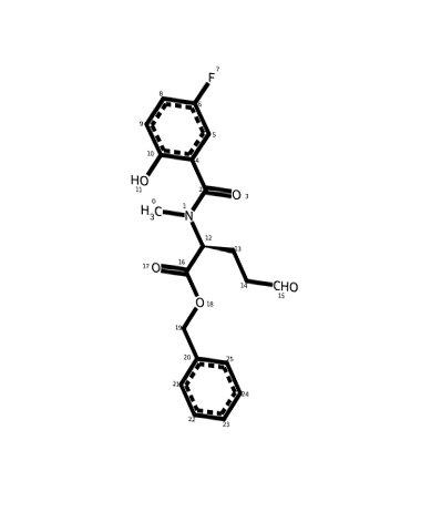 CN(C(=O)c1cc(F)ccc1O)[C@@H](CCC=O)C(=O)OCc1ccccc1